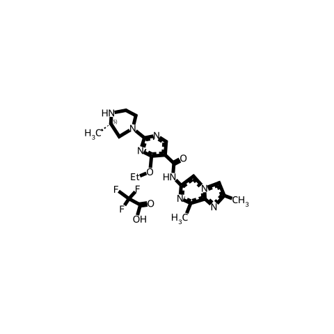 CCOc1nc(N2CCN[C@@H](C)C2)ncc1C(=O)Nc1cn2cc(C)nc2c(C)n1.O=C(O)C(F)(F)F